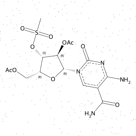 CC(=O)OC[C@H]1O[C@@H](n2cc(C(N)=O)c(N)nc2=O)[C@H](OC(C)=O)[C@H]1OS(C)(=O)=O